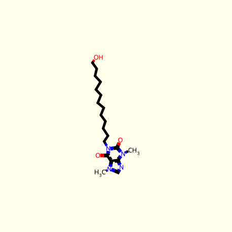 Cn1cnc2c1c(=O)n(CCCCCCCCCCCCCO)c(=O)n2C